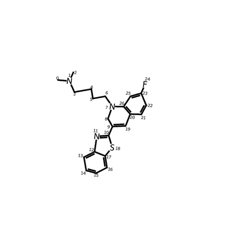 CN(C)CCCCN1CC(c2nc3ccccc3s2)=Cc2ccc(F)cc21